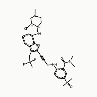 CN1CC[C@@H](Nc2cccc3c(CC(F)(F)F)c(C#CCNc4ccc(P(C)(C)=O)cc4C(=O)N(C)C)sc23)[C@@H](Cl)C1